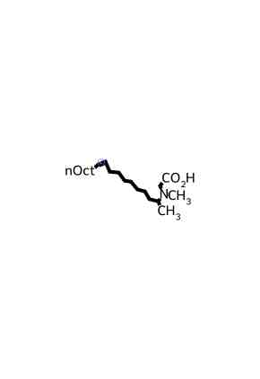 CCCCCCCC/C=C\CCCCCCCC(C)N(C)CC(=O)O